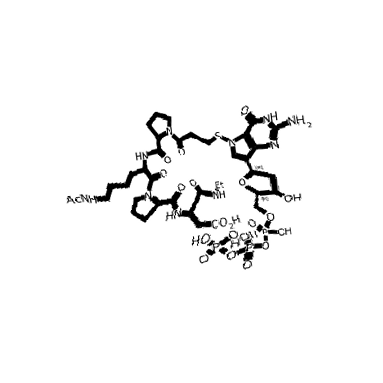 CCNC(=O)C(CC(=O)O)NC(=O)C1CCCN1C(=O)C(CCCCNC(C)=O)NC(=O)C1CCCN1C(=O)CCSn1cc([C@H]2CC(O)[C@@H](COP(=O)(O)OP(=O)(O)OP(=O)(O)O)O2)c2nc(N)[nH]c(=O)c21